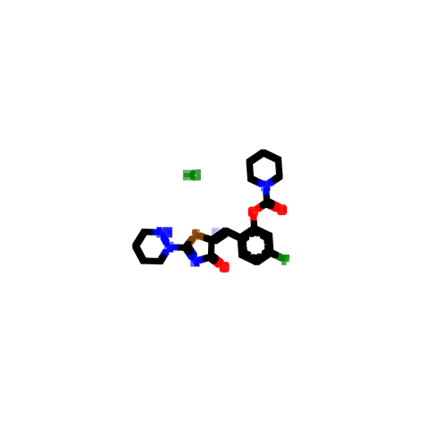 Cl.O=C1N=C(N2CCCCN2)S/C1=C/c1ccc(F)cc1OC(=O)N1CCCCC1